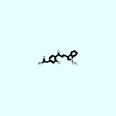 CC(C)C(=O)Cc1ccc(C(=O)/C=C/c2cn(C)c3ccccc23)c(Cl)c1